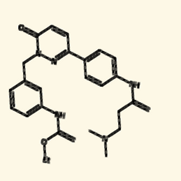 C=C(CCN(C)C)Nc1ccc(-c2ccc(=O)n(Cc3cccc(NC(=C)OCC)c3)n2)cc1